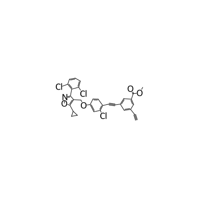 C#Cc1cc(C#Cc2ccc(OCc3c(-c4c(Cl)cccc4Cl)noc3C3CC3)cc2Cl)cc(C(=O)OC)c1